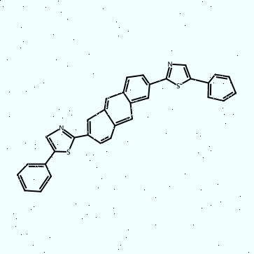 c1ccc(-c2cnc(-c3ccc4cc5cc(-c6ncc(-c7ccccc7)s6)ccc5cc4c3)s2)cc1